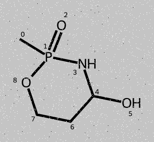 CP1(=O)NC(O)CCO1